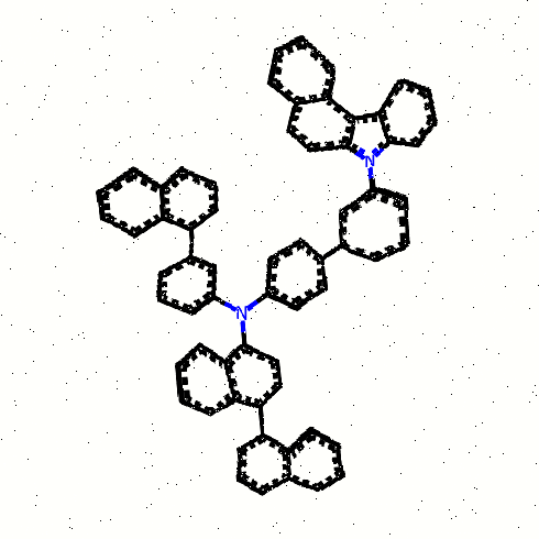 c1cc(-c2cccc3ccccc23)cc(N(c2ccc(-c3cccc(-n4c5ccccc5c5c6ccccc6ccc54)c3)cc2)c2ccc(-c3cccc4ccccc34)c3ccccc23)c1